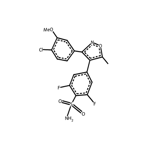 COc1cc(-c2noc(C)c2-c2cc(F)c(S(N)(=O)=O)c(F)c2)ccc1Cl